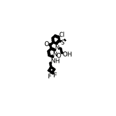 CSc1c(Cl)ccc2c(=O)c3ccc(NCC4CC(F)(F)C4)nc3n(CC(=O)O)c12